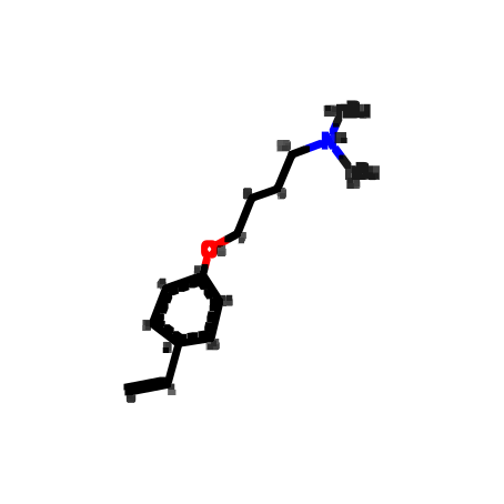 C=Cc1ccc(OCCCCN(CCCC)CCCC)cc1